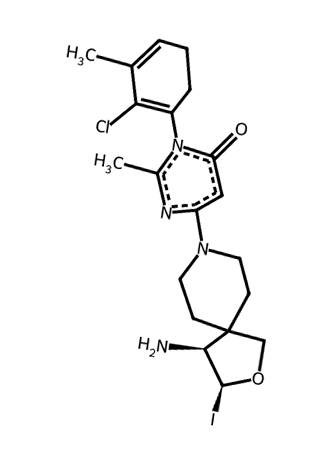 CC1=CCCC(n2c(C)nc(N3CCC4(CC3)CO[C@@H](I)[C@H]4N)cc2=O)=C1Cl